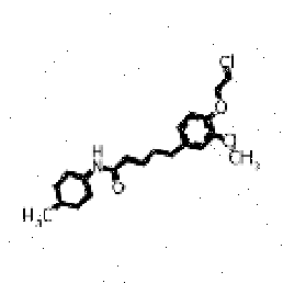 COc1cc(CCCCC(=O)NC2CCC(C)CC2)ccc1OCCCl